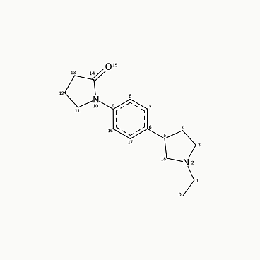 CCN1CCC(c2ccc(N3CCCC3=O)cc2)C1